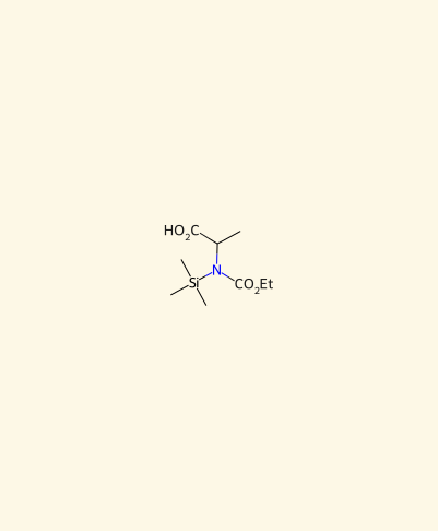 CCOC(=O)N(C(C)C(=O)O)[Si](C)(C)C